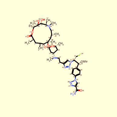 CC[C@H]1OC(=O)[C@H](C)C[C@H](C)[C@@H](O[C@H]2C[C@@H](N(C)CCc3cn([C@H](CF)[C@H](OC)c4ccc(-n5cc(C(N)=O)nn5)cc4)nn3)C[C@@H](C)O2)[C@](C)(O)C[C@@H](C)CN(C)[C@H](C)[C@@H](O)[C@]1(C)O